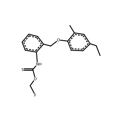 CCc1ccc(OCc2ccccc2NC(=S)OCF)c(C)c1